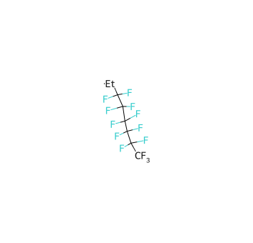 C[CH]C(F)(F)C(F)(F)C(F)(F)C(F)(F)C(F)(F)C(F)(F)F